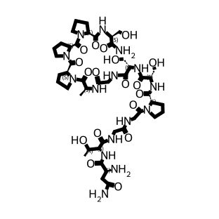 C[C@H](NC(=O)CNC(=O)[C@H](CO)NC(=O)[C@H](CO)NC(=O)[C@@H]1CCCN1C(=O)CNC(=O)CNC(=O)[C@@H](NC(=O)[C@@H](N)CC(N)=O)[C@@H](C)O)C(=O)N1CCC[C@H]1C(=O)N1CCC[C@H]1C(=O)N1CCC[C@H]1C(=O)N[C@@H](CO)C(N)=O